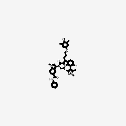 Cc1cc(OCCCc2c3n(c4c(-c5c(C)nn(C)c5C)c(Cl)ccc24)[C@H](C)CN(c2cn(C)c4ccc(C(=O)Nc5ccccc5)cc24)C3=O)cc(C)c1Cl